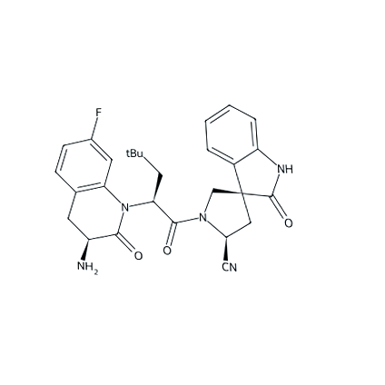 CC(C)(C)C[C@@H](C(=O)N1C[C@]2(C[C@H]1C#N)C(=O)Nc1ccccc12)N1C(=O)[C@@H](N)Cc2ccc(F)cc21